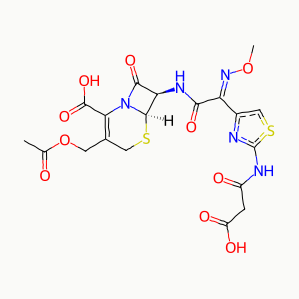 CON=C(C(=O)N[C@@H]1C(=O)N2C(C(=O)O)=C(COC(C)=O)CS[C@H]12)c1csc(NC(=O)CC(=O)O)n1